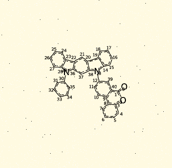 O=c1oc2ccccc2c2ccc(-n3c4ccccc4c4cc5c6ccccc6n(-c6ccccc6)c5cc43)cc12